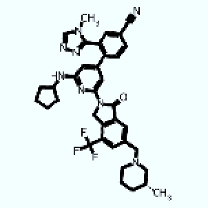 C[C@@H]1CCCN(Cc2cc3c(c(C(F)(F)F)c2)CN(c2cc(-c4ccc(C#N)cc4-c4nncn4C)cc(NC4CCCC4)n2)C3=O)C1